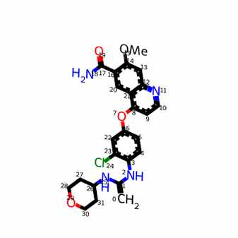 C=C(Nc1ccc(Oc2ccnc3cc(OC)c(C(N)=O)cc23)cc1Cl)NC1CCOCC1